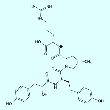 C[C@H]1C[C@@H](C(=O)N[C@@H](CCCNC(=N)N)C(=O)O)N(C(=O)[C@@H](CCc2ccc(O)cc2)NC(=O)[C@H](O)Cc2ccc(O)cc2)C1